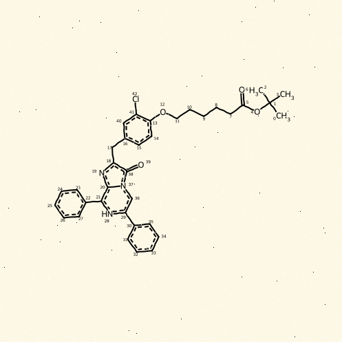 CC(C)(C)OC(=O)CCCCCOc1ccc(Cc2nc3c(-c4ccccc4)[nH]c(-c4ccccc4)cn-3c2=O)cc1Cl